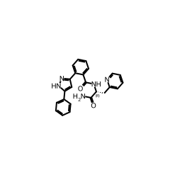 NC(=O)[C@@H](Cc1ccccn1)NC(=O)c1ccccc1-c1cc(-c2ccccc2)[nH]n1